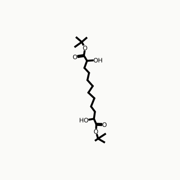 CC(C)(C)OC(=O)C(O)CCCCCCCCC(O)C(=O)OC(C)(C)C